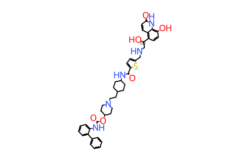 O=C(Nc1ccccc1-c1ccccc1)OC1CCN(CCC2CCC(NC(=O)c3ccc(CNC[C@@H](O)c4ccc(O)c5[nH]c(=O)ccc45)s3)CC2)CC1